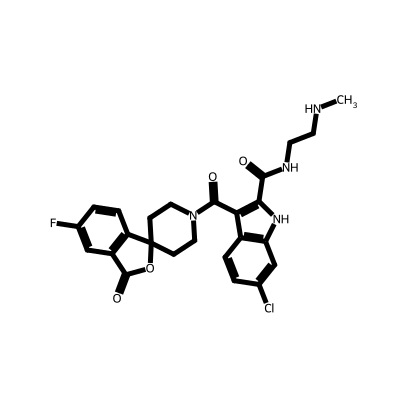 CNCCNC(=O)c1[nH]c2cc(Cl)ccc2c1C(=O)N1CCC2(CC1)OC(=O)c1cc(F)ccc12